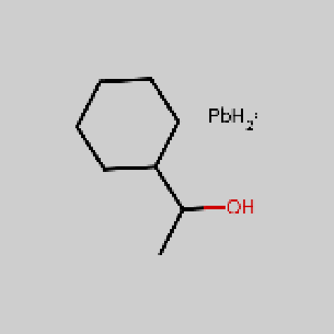 CC(O)C1CCCCC1.[PbH2]